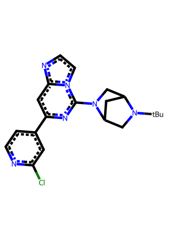 CC(C)(C)N1CC2CC1CN2c1nc(-c2ccnc(Cl)c2)cc2nccn12